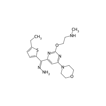 CCc1ccc(/C(=N/N)c2cc(N3CCOCC3)nc(OCCNC)n2)s1